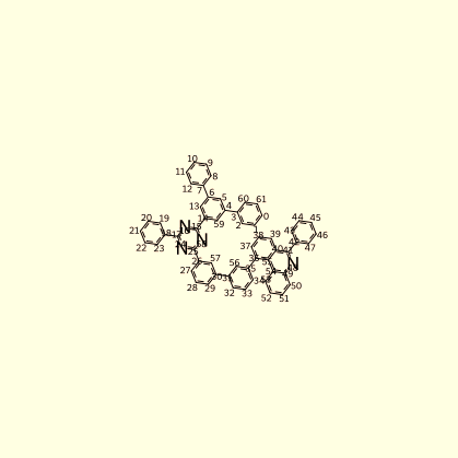 c1ccc(-c2cc(-c3ccccc3)cc(-c3nc(-c4ccccc4)nc(-c4cccc(-c5cccc(-c6cccc7c(-c8ccccc8)nc8ccccc8c67)c5)c4)n3)c2)cc1